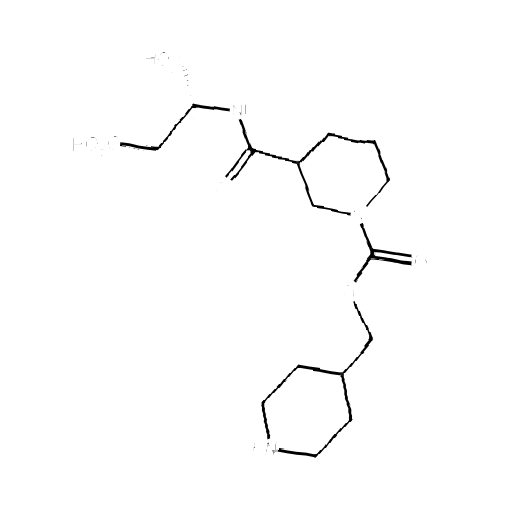 O=C(O)C[C@@H](NC(=O)C1CCCN(C(=O)OCC2CCNCC2)C1)C(=O)O